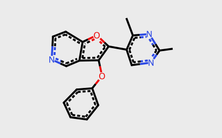 Cc1ncc(-c2oc3ccncc3c2Oc2ccccc2)c(C)n1